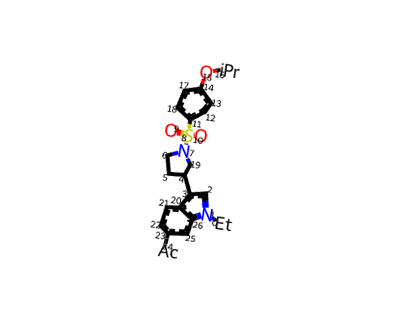 CCn1cc(C2CCN(S(=O)(=O)c3ccc(OC(C)C)cc3)C2)c2ccc(C(C)=O)cc21